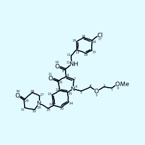 COCCOCCn1cc(C(=O)NCc2ccc(Cl)cc2)c(=O)c2cc(CN3CCC(=O)CC3)ccc21